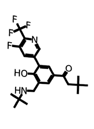 CC(C)(C)CC(=O)c1cc(CNC(C)(C)C)c(O)c(-c2cnc(C(F)(F)F)c(F)c2)c1